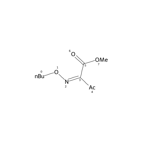 CCCCON=C(C(C)=O)C(=O)OC